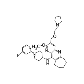 COc1nc2c(NC3CCN(c4cccc(F)c4)CC3)c3c(nc2cc1COCCN1CCCC1)CCCCC3